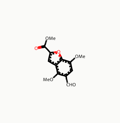 COC(=O)c1cc2c(OC)c(C=O)cc(OC)c2o1